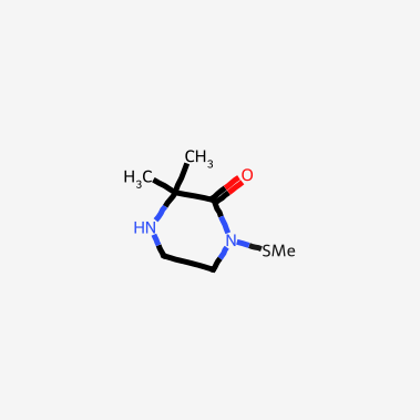 CSN1CCNC(C)(C)C1=O